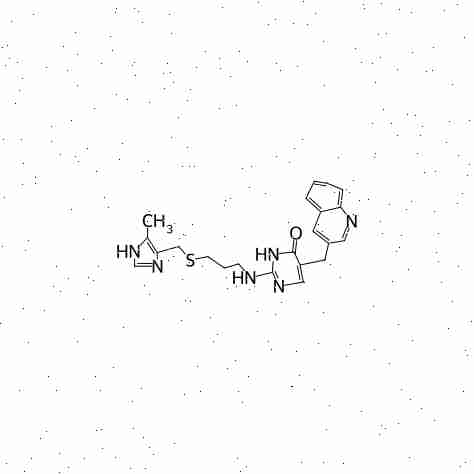 Cc1[nH]cnc1CSCCCNc1ncc(Cc2cnc3ccccc3c2)c(=O)[nH]1